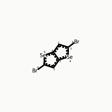 Brc1cc2[se]c(Br)cc2[se]1